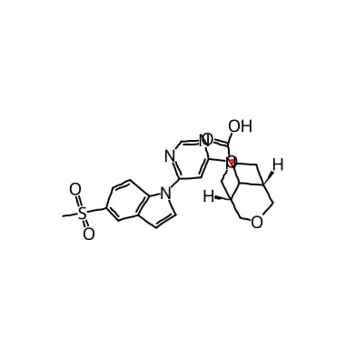 CS(=O)(=O)c1ccc2c(ccn2-c2cc(OC3[C@@H]4COC[C@H]3CN(C(=O)O)C4)ncn2)c1